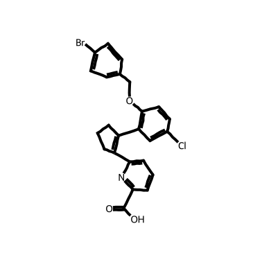 O=C(O)c1cccc(C2=C(c3cc(Cl)ccc3OCc3ccc(Br)cc3)CCC2)n1